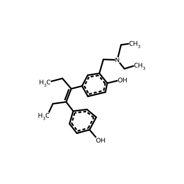 CC/C(=C(\CC)c1ccc(O)c(CN(CC)CC)c1)c1ccc(O)cc1